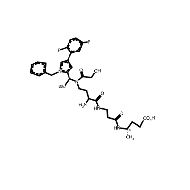 C[C@@H](CCC(=O)O)NC(=O)CCNC(=O)C(N)CCN(C(=O)CO)C(c1cc(-c2cc(F)ccc2F)cn1Cc1ccccc1)C(C)(C)C